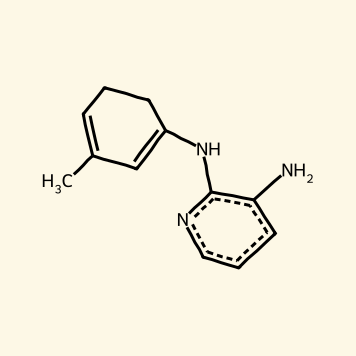 CC1=CCCC(Nc2ncccc2N)=C1